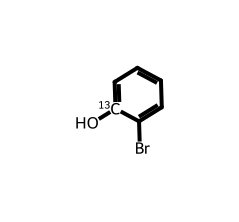 O[13c]1ccccc1Br